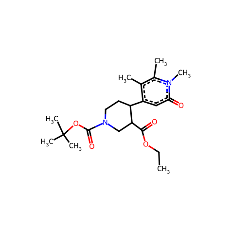 CCOC(=O)C1CN(C(=O)OC(C)(C)C)CCC1c1cc(=O)n(C)c(C)c1C